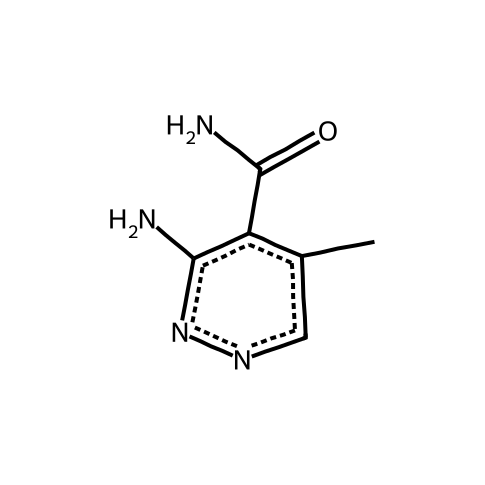 Cc1cnnc(N)c1C(N)=O